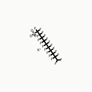 O=S(=O)([O-])C(F)(F)C(F)(F)C(F)(F)C(F)(F)C(F)(F)C(F)(F)C(F)(F)C(F)(F)C(F)(F)C(F)F.[K+]